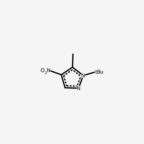 Cc1c([N+](=O)[O-])cnn1C(C)(C)C